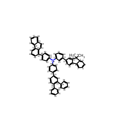 CC1(C)c2ccccc2-c2ccc(-c3cccc(N(c4ccc(-c5ccc(-c6ccccc6)c(-c6ccccc6)c5)cc4)c4ccc(-c5cccc6c5ccc5ccccc56)cc4)c3)cc21